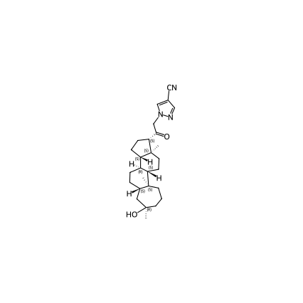 C[C@@]1(O)CCC[C@@]2(C)[C@@H](CC[C@@H]3[C@@H]2CC[C@]2(C)[C@@H](C(=O)Cn4cc(C#N)cn4)CC[C@@H]32)C1